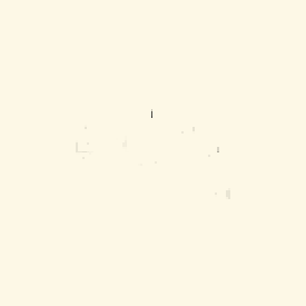 O=C(O)c1cccc([SiH]2CCCO[SiH2]2)c1C(=O)O